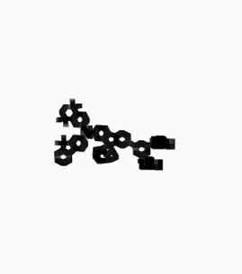 CC(C)(C)c1cc(-c2ccc3c(c2)C2(c4cc(N(c5ccc6c(c5)C(C)(C)CCC6(C)C)c5ccc6c(c5)C(C)(C)c5ccccc5-6)ccc4-3)C3CC4CC5CC2C53C4)cc(C(C)(C)C)c1